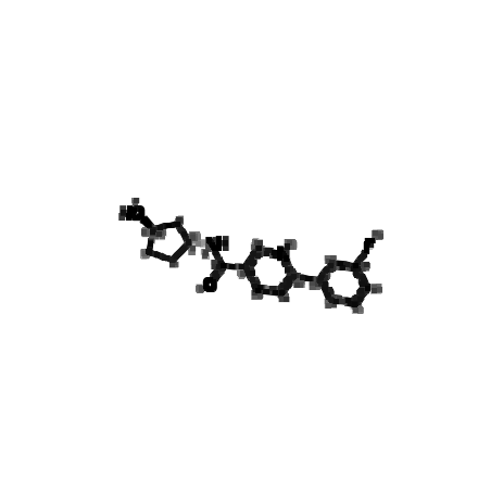 O=C(N[C@@H]1CC[C@@H](O)C1)c1ccc(-c2cccc(F)c2)nc1